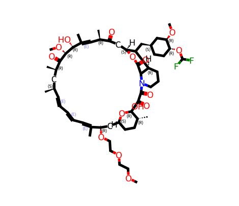 COCCOCCO[C@@H]1C[C@@H]2CC[C@@H](C)[C@@](O)(O2)C(=O)C(=O)N2CCC[C@@H]3C(C[C@@H]4CC[C@@H](OC(F)F)[C@H](OC)C4)[C@H](CC(=O)[C@H](C)/C=C(\C)[C@@H](O)[C@@H](OC)C(=O)[C@H](C)C[C@H](C)/C=C/C=C/C=C/1C)OC(=O)C32